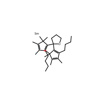 CCCCC1=C(C2(C3=C(CCCC)C(C)=C(C)C3(C)C)CCCO2)C(C)(C)C(C)=C1C.[Sm]